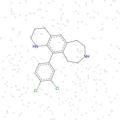 Clc1ccc(-c2c3c(cc4c2NCCC4)CCNCC3)cc1Cl